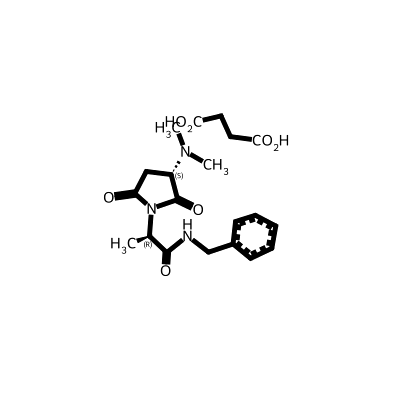 C[C@H](C(=O)NCc1ccccc1)N1C(=O)C[C@H](N(C)C)C1=O.O=C(O)CCC(=O)O